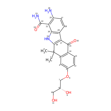 CC1(C)c2cc(OC[C@H](O)CO)ccc2C(=O)c2c1[nH]c1c(C(N)=O)c(N)ccc21